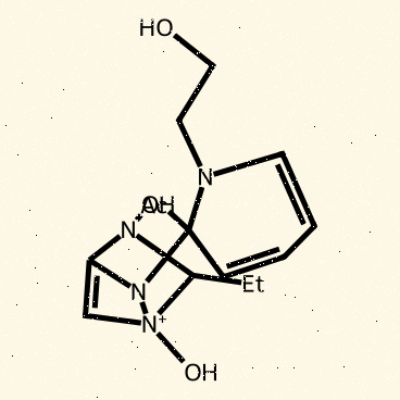 CCC1N(O)C2=C[N+]1(O)N2C1(C(C)=O)C=CC=CN1CCO